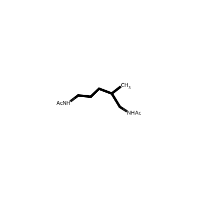 CC(=O)NCCCC(C)CNC(C)=O